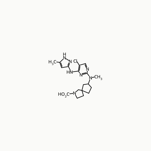 Cc1cc(Nc2nc(N(C)C3CCC4(CCN(C(=O)O)C4)C3)ncc2Cl)n[nH]1